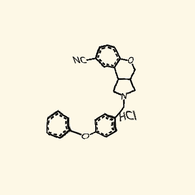 Cl.N#Cc1ccc2c(c1)C1CN(Cc3ccc(Oc4ccccc4)cc3)CC1CO2